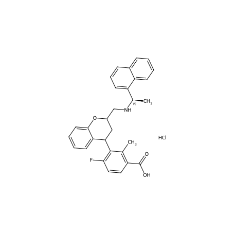 Cc1c(C(=O)O)ccc(F)c1C1CC(CN[C@H](C)c2cccc3ccccc23)Oc2ccccc21.Cl